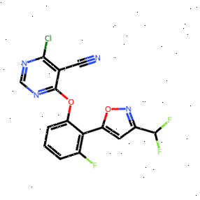 N#Cc1c(Cl)ncnc1Oc1cccc(F)c1-c1cc(C(F)F)no1